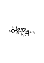 CCc1c(Nc2cc(-n3nc(C)c(F)c3C)ncn2)nn(C)c1-c1ccc(F)cc1